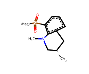 COS(=O)(=O)c1cccc2c1N(C)C[C@@H](C)C2